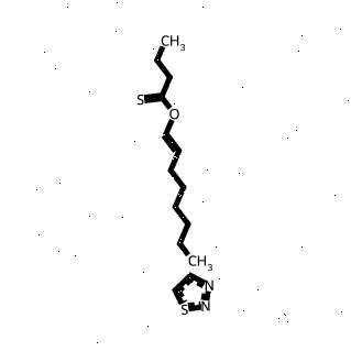 CCCCCCC=COC(=S)CCC.c1csnn1